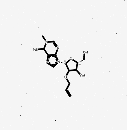 C=CCOC1C(O)[C@@H](CO)O[C@H]1n1cnc2c1N=CN(C)C2S